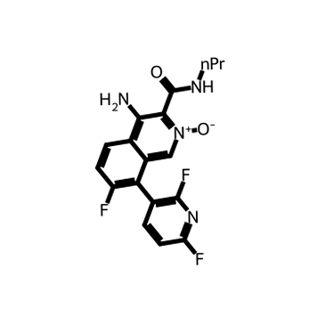 CCCNC(=O)c1c(N)c2ccc(F)c(-c3ccc(F)nc3F)c2c[n+]1[O-]